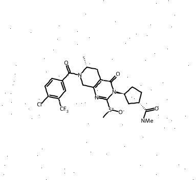 CNC(=O)[C@H]1CC[C@H](n2c([S+](C)[O-])nc3c(c2=O)C[C@@H](C)N(C(=O)c2ccc(Cl)c(C(F)(F)F)c2)C3)C1